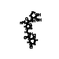 CCCC1(C(=O)NC(CC(C)C)B(O)O)CC(CNC(=O)c2cc(Cl)ccc2Cl)=NO1